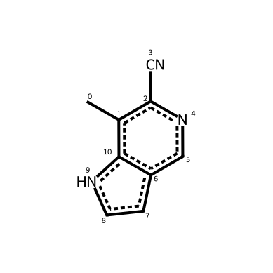 Cc1c(C#N)ncc2cc[nH]c12